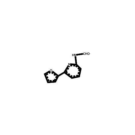 O=[C]Nc1cccc(-c2ccco2)n1